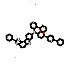 c1ccc(-c2ccc(-c3ccc(N(c4ccc5c(c4)oc4ccc6nc(-c7ccccc7)oc6c45)c4ccccc4-c4ccccc4)cc3)cc2)cc1